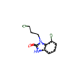 O=c1[nH]c2cccc(Cl)c2n1CCCCl